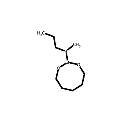 CCCB(C)B1OCCCCCO1